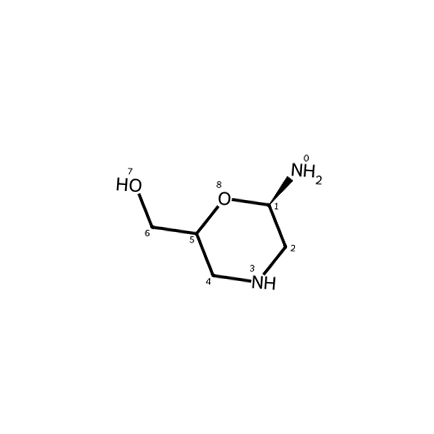 N[C@H]1CNCC(CO)O1